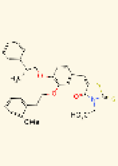 COc1ccccc1CCOc1cc(C=C2SC(=S)N(CC(=O)O)C2=O)ccc1OC[C@H](C)c1ccccc1